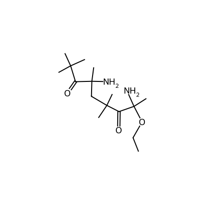 CCOC(C)(N)C(=O)C(C)(C)CC(C)(N)C(=O)C(C)(C)C